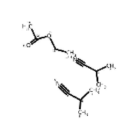 CC(C)C#N.CC(C)C#N.CCOC(C)=O